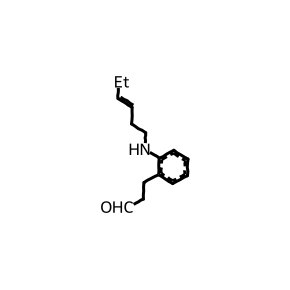 CCC=CCCNc1ccccc1CCC=O